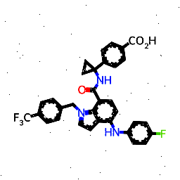 O=C(O)c1ccc(C2(NC(=O)c3ccc(Nc4ccc(F)cc4)c4ccn(Cc5ccc(C(F)(F)F)cc5)c34)CC2)cc1